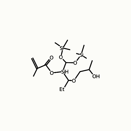 C=C(C)C(=O)O[SiH](C(CC)OCC(C)O)C(O[Si](C)(C)C)O[Si](C)(C)C